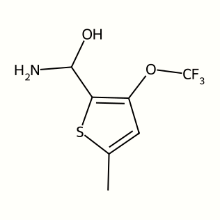 Cc1cc(OC(F)(F)F)c(C(N)O)s1